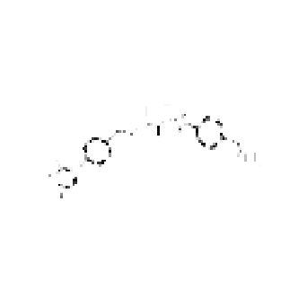 CCc1nc(C)cn1-c1ccc(CCNC(=O)NS(=O)(=O)c2ccc(CN)cc2)cc1